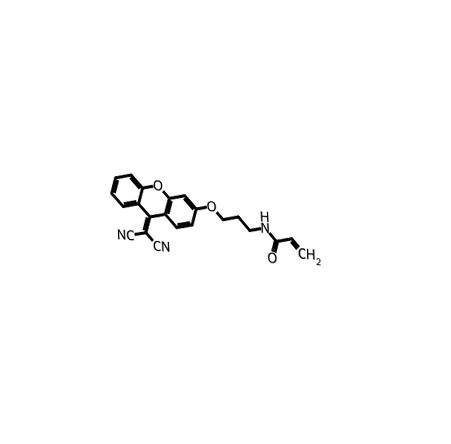 C=CC(=O)NCCCOc1ccc2c(c1)Oc1ccccc1C2=C(C#N)C#N